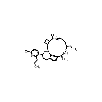 C=C1NSC(CC)CC/C=C/C(C)C2CCC2CN2CC(c3ccc(Cl)nc3CCC)CCc3ccc1cc32